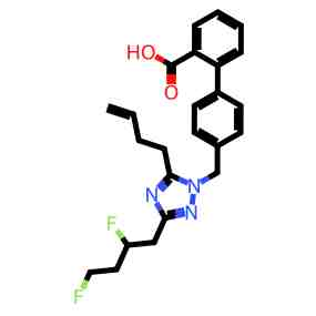 C=CCCc1nc(CC(F)CCF)nn1Cc1ccc(-c2ccccc2C(=O)O)cc1